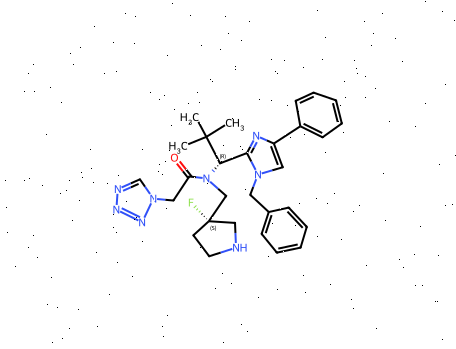 CC(C)(C)[C@H](c1nc(-c2ccccc2)cn1Cc1ccccc1)N(C[C@]1(F)CCNC1)C(=O)Cn1cnnn1